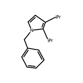 CC(C)c1ccn(Cc2ccccc2)c1C(C)C